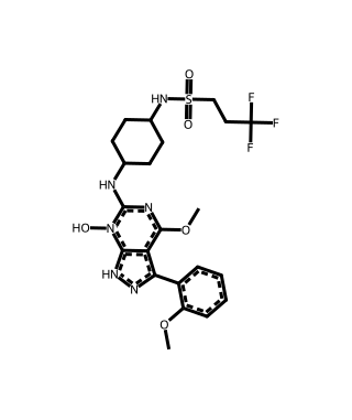 COc1ccccc1-c1n[nH]c2c1c(OC)nc(NC1CCC(NS(=O)(=O)CCC(F)(F)F)CC1)[n+]2O